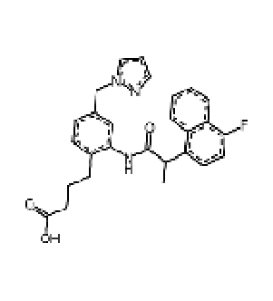 CC(C(=O)Nc1cc(Cn2cccn2)ccc1CCCC(=O)O)c1ccc(F)c2ccccc12